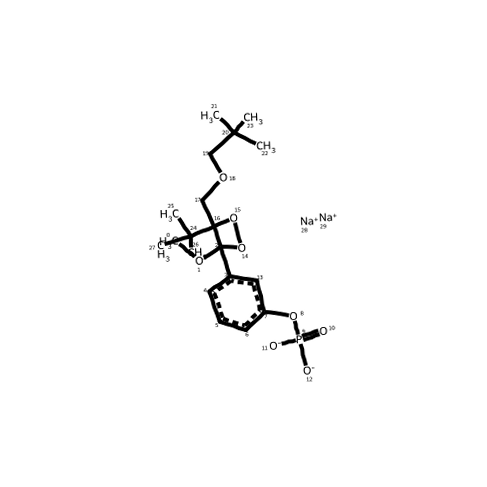 COC1(c2cccc(OP(=O)([O-])[O-])c2)OOC1(COCC(C)(C)C)C(C)(C)C.[Na+].[Na+]